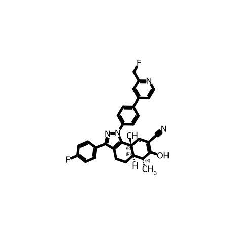 C[C@H]1C(O)=C(C#N)C[C@@]2(C)c3c(c(-c4ccc(F)cc4)nn3-c3ccc(-c4ccnc(CF)c4)cc3)CC[C@H]12